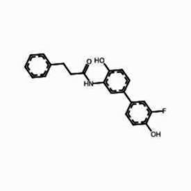 O=C(CCc1ccccc1)Nc1cc(-c2ccc(O)c(F)c2)ccc1O